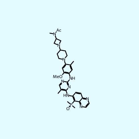 COc1cc(N2CCC(N3CC(N(C)C(C)=O)C3)CC2)c(C)cc1Nc1ncc(C)c(Nc2ccc3nccnc3c2P(C)(C)=O)n1